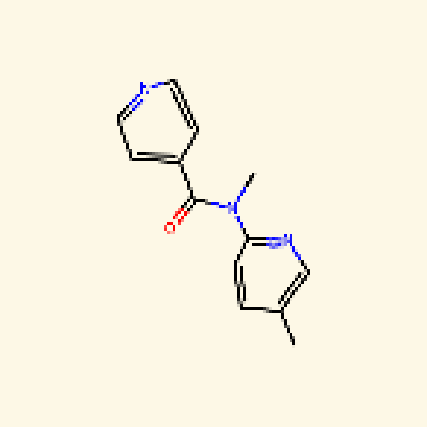 Cc1ccc(N(C)C(=O)c2ccncc2)nc1